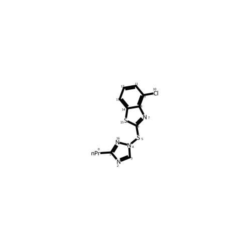 CCCc1ncn(Sc2nc3c(Cl)cccc3s2)n1